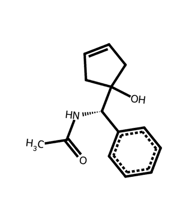 CC(=O)N[C@@H](c1ccccc1)C1(O)CC=CC1